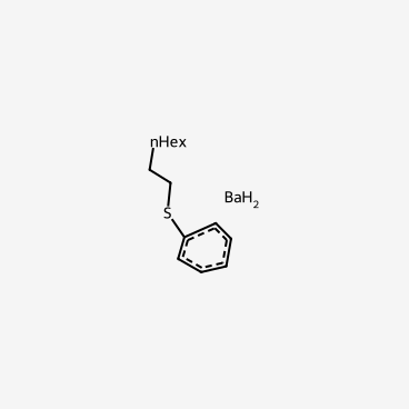 CCCCCCCCSc1ccccc1.[BaH2]